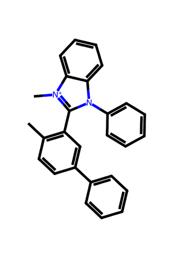 Cc1ccc(-c2ccccc2)cc1-c1n(-c2ccccc2)c2ccccc2[n+]1C